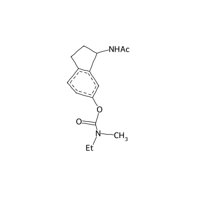 CCN(C)C(=O)Oc1ccc2c(c1)C(NC(C)=O)CC2